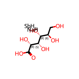 O=C(O)[C@H](O)[C@@H](O)[C@H](O)[C@H](O)CO.[NaH].[SbH3]